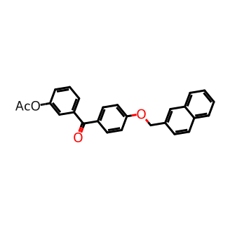 CC(=O)Oc1cccc(C(=O)c2ccc(OCc3ccc4ccccc4c3)cc2)c1